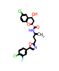 C=C(CCc1ncc(-c2ccc(Cl)c(F)c2)o1)NC(=O)[C@H]1C[C@@H](O)c2cc(Cl)ccc2O1